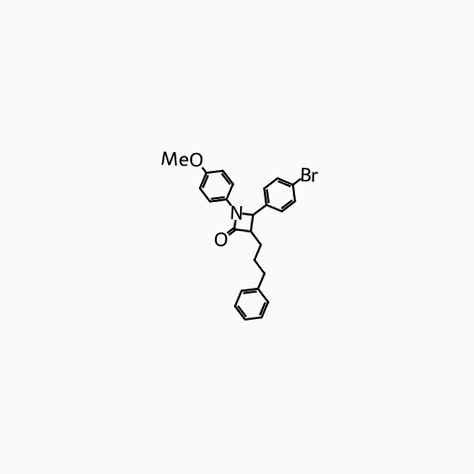 COc1ccc(N2C(=O)C(CCCc3ccccc3)C2c2ccc(Br)cc2)cc1